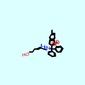 Cc1ccc(S(=O)(=O)c2ccccc2C(NCCCCCCO)(c2ccccc2)c2ccccc2)cc1